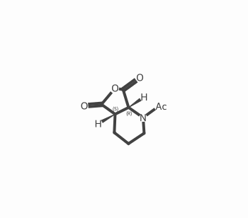 CC(=O)N1CCC[C@@H]2C(=O)OC(=O)[C@@H]21